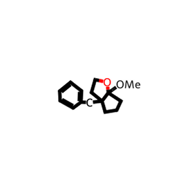 COC12CCCC1(Cc1ccccc1)CCO2